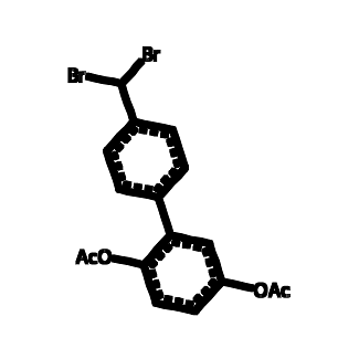 CC(=O)Oc1ccc(OC(C)=O)c(-c2ccc(C(Br)Br)cc2)c1